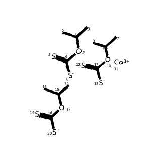 CC(C)OC(=S)[S-].CC(C)OC(=S)[S-].CC(C)OC(=S)[S-].[Co+3]